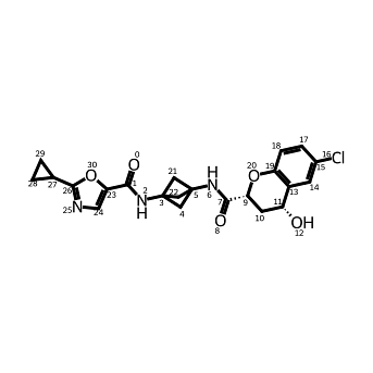 O=C(NC12CC(NC(=O)[C@H]3C[C@@H](O)c4cc(Cl)ccc4O3)(C1)C2)c1cnc(C2CC2)o1